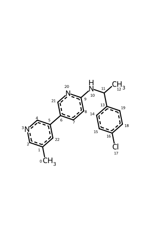 Cc1cncc(-c2ccc(NC(C)c3ccc(Cl)cc3)nc2)c1